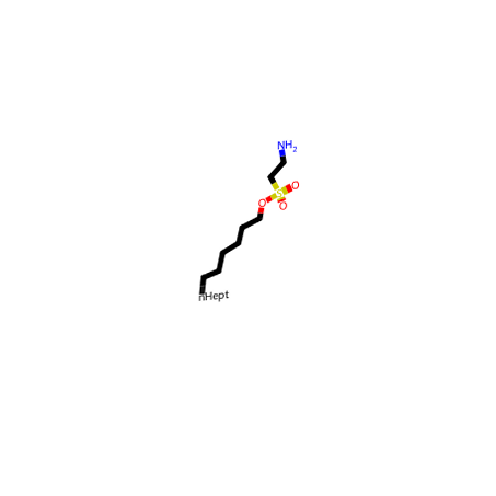 CCCCCCCCCCCCCOS(=O)(=O)CCN